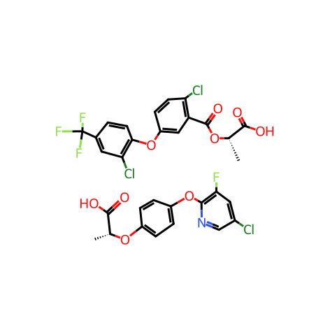 C[C@@H](Oc1ccc(Oc2ncc(Cl)cc2F)cc1)C(=O)O.C[C@H](OC(=O)c1cc(Oc2ccc(C(F)(F)F)cc2Cl)ccc1Cl)C(=O)O